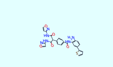 Nc1ccc(-c2cccs2)cc1NC(=O)c1ccc(C(C(=O)Nc2ccon2)C(=O)Nc2ccon2)cc1